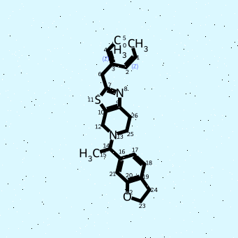 C/C=C\C(=C/C)Cc1nc2c(s1)CN(C(C)c1ccc3c(c1)OCC3)CC2